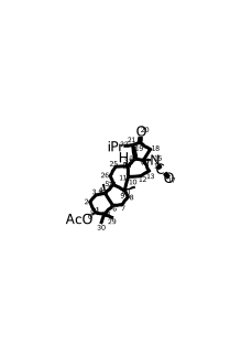 CC(=O)O[C@H]1CC[C@@]2(C)C(CC[C@@]3(C)C4CC[C@@]5(N=C=O)CC(=O)C(C(C)C)=C5[C@H]4CCC32)C1(C)C